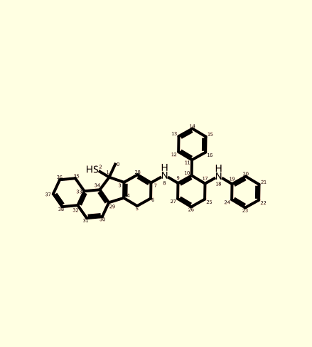 CC1(S)C2=C(CCC(NC3=C(c4ccccc4)C(Nc4ccccc4)CC=C3)=C2)c2ccc3c(c21)CCC=C3